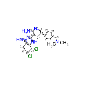 CN(C)Cc1ccc(-c2cnc(N)c(/C(=N/N=N)Nc3cccc(Cl)c3Cl)c2)cc1